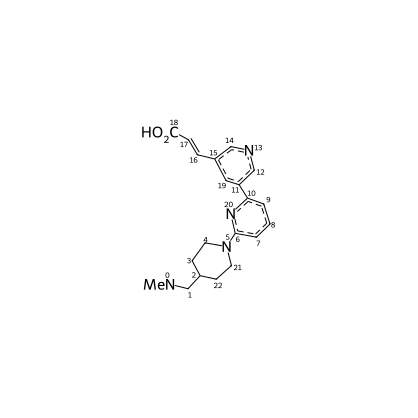 CNCC1CCN(c2cccc(-c3cncc(/C=C/C(=O)O)c3)n2)CC1